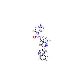 CN(C)C1CCN(C(=O)N2CC3(CCn4nc(-c5cnc6ccccc6c5)cc43)C2)C1